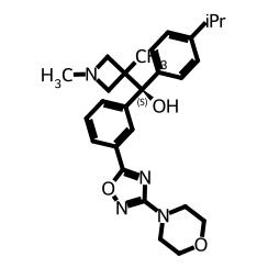 CC(C)c1ccc([C@](O)(c2cccc(-c3nc(N4CCOCC4)no3)c2)C2(C)CN(C)C2)cc1